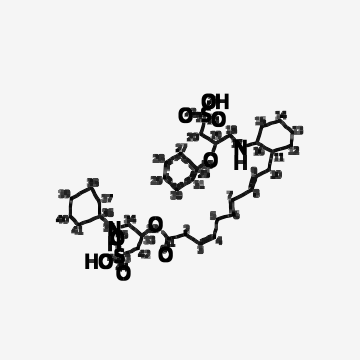 O=C(C/C=C\C/C=C/C=C/CC1CCCCC1NCC(CS(=O)(=O)O)Oc1ccccc1)OC(CNC1CCCCC1)CS(=O)(=O)O